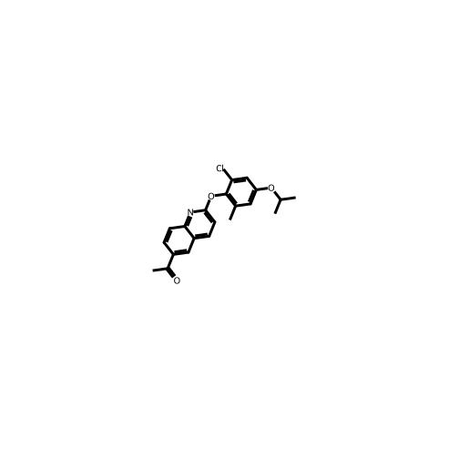 CC(=O)c1ccc2nc(Oc3c(C)cc(OC(C)C)cc3Cl)ccc2c1